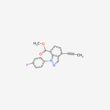 CC#Cc1ccc(C(=O)OC)c2c1cnn2-c1ccc(I)cc1